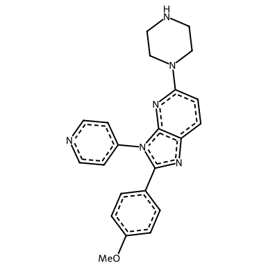 COc1ccc(-c2nc3ccc(N4CCNCC4)nc3n2-c2ccncc2)cc1